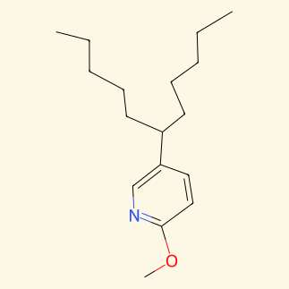 CCCCCC(CCCCC)c1ccc(OC)nc1